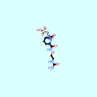 NC(=O)NCCONC(=O)C1CCC2CN1C(=O)N2OS(=O)(=O)O